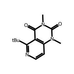 Cn1c(=O)c2c(C(C)(C)C)nccc2n(C)c1=O